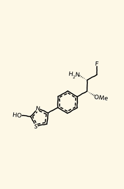 CO[C@H](c1ccc(-c2csc(O)n2)cc1)[C@H](N)CF